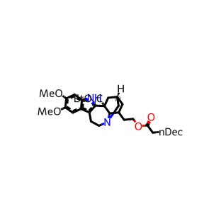 CCCCCCCCCCCC(=O)OCCC1C[C@@H]2CN3CCc4c([nH]c5cc(OC)c(OC)cc45)C(C(=O)OCC)(C2)C13